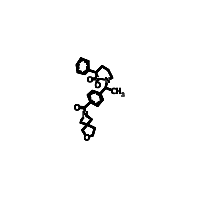 CC(c1ccc(C(=O)N2CC3(CCOC3)C2)cc1)N1CCCC(c2ccccc2)S1(=O)=O